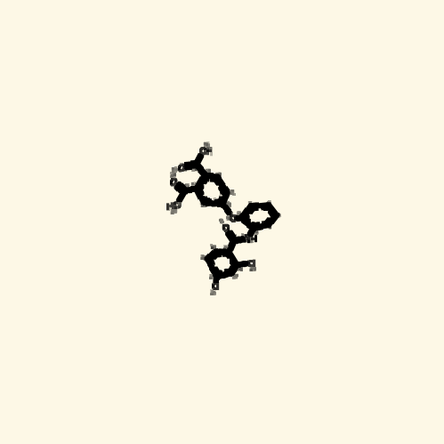 O=C(Nc1ccccc1Oc1ccc(C(=O)O)c(C(=O)O)c1)c1ccc(Cl)cc1Cl